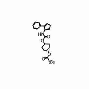 CC(C)(C)C(=O)ON1CCC(OC(=O)Nc2cscc2-c2ccccc2)CC1